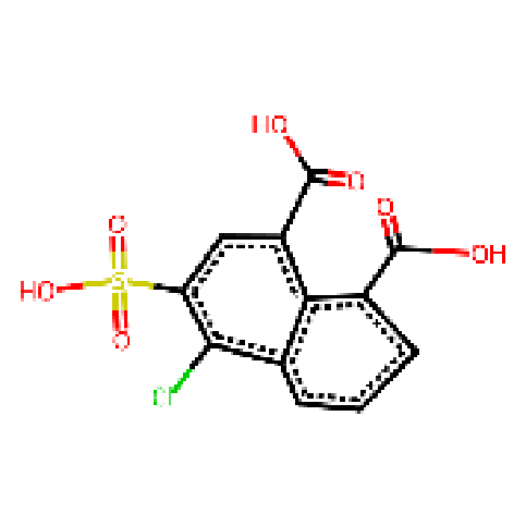 O=C(O)c1cccc2c(Cl)c(S(=O)(=O)O)cc(C(=O)O)c12